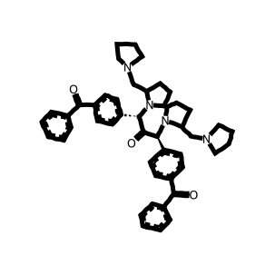 O=C(c1ccccc1)c1ccc([C@@H](C(=O)[C@H](c2ccc(C(=O)c3ccccc3)cc2)N2CCCC2CN2CCCC2)N2CCCC2CN2CCCC2)cc1